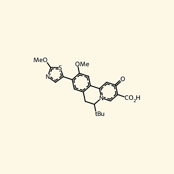 COc1ncc(-c2cc3c(cc2OC)-c2cc(=O)c(C(=O)O)cn2C(C(C)(C)C)C3)s1